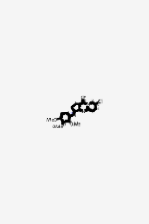 COc1ccc(/C=C2\CCc3c2nc2ccc(Cl)cn2c3=O)c(OC)c1OC